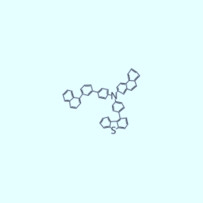 c1cc(-c2ccc(N(c3ccc(-c4cccc5sc6ccccc6c45)cc3)c3ccc4c(ccc5ccccc54)c3)cc2)cc(-c2cccc3ccccc23)c1